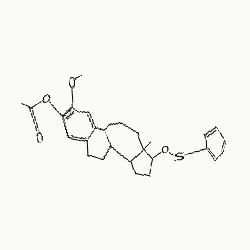 COc1cc2c(cc1OC(C)=O)CCC1C2CCC2(C)C(OSc3ccccc3)CCC12